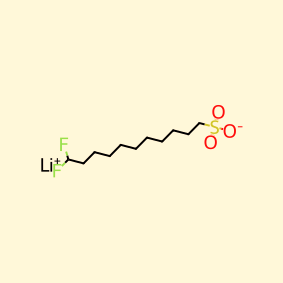 O=S(=O)([O-])CCCCCCCCCCC(F)F.[Li+]